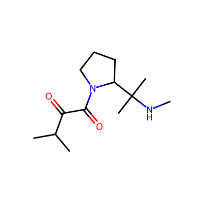 CNC(C)(C)C1CCCN1C(=O)C(=O)C(C)C